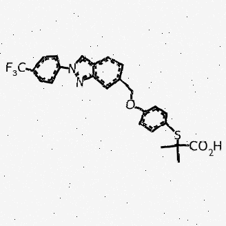 CC(C)(Sc1ccc(OCc2ccc3cn(-c4ccc(C(F)(F)F)cc4)nc3c2)cc1)C(=O)O